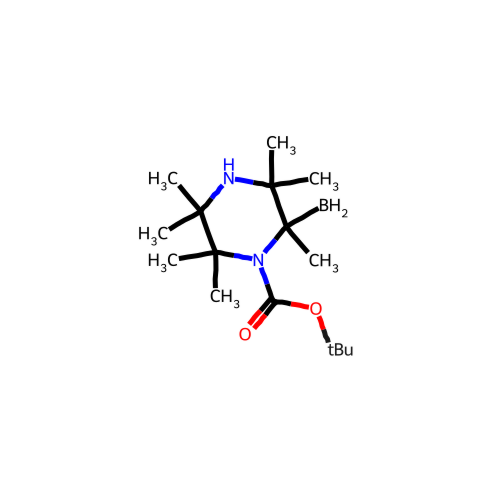 BC1(C)N(C(=O)OC(C)(C)C)C(C)(C)C(C)(C)NC1(C)C